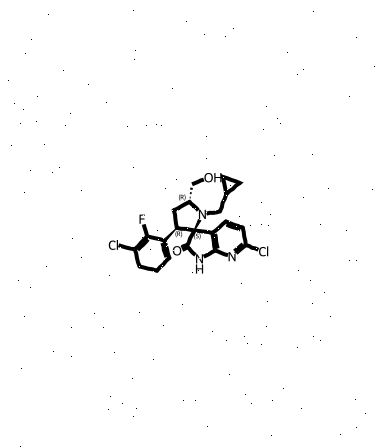 O=C1Nc2nc(Cl)ccc2[C@@]12[C@@H](C1=CCCC(Cl)=C1F)C[C@H](CO)N2CC1CC1